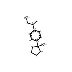 CC(CO)c1ccc(C2(O)CCCC2)cc1